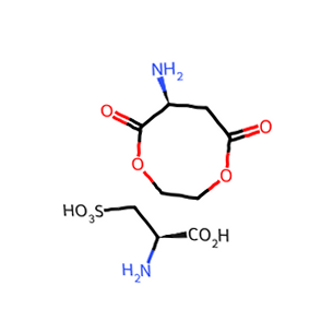 N[C@@H](CS(=O)(=O)O)C(=O)O.N[C@H]1CC(=O)OCCOC1=O